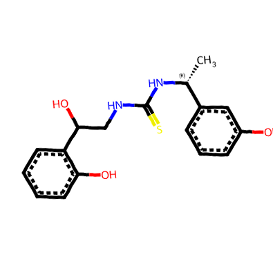 C[C@@H](NC(=S)NCC(O)c1ccccc1O)c1cccc(O)c1